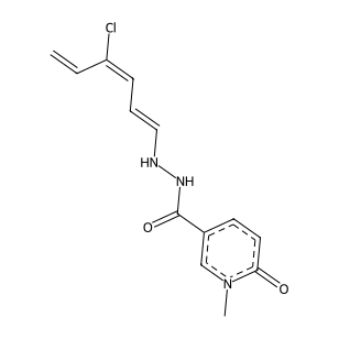 C=C/C(Cl)=C\C=C\NNC(=O)c1ccc(=O)n(C)c1